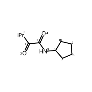 CC(C)C(=O)C(=O)NC1CCCC1